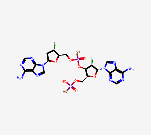 Nc1ncnc2c1ncn2[C@@H]1O[C@H](COP(=O)(O)S)[C@@H](OP(=O)(S)OC[C@H]2O[C@@H](n3cnc4c(N)ncnc43)C[C@H]2F)[C@H]1F